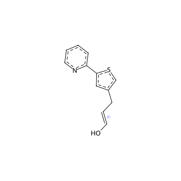 O/C=C/Cc1csc(-c2ccccn2)c1